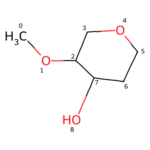 COC1COCCC1O